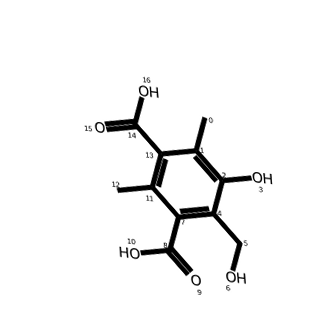 Cc1c(O)c(CO)c(C(=O)O)c(C)c1C(=O)O